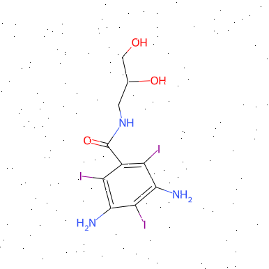 Nc1c(I)c(N)c(I)c(C(=O)NCC(O)CO)c1I